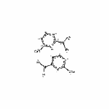 CCN(CC)c1ncnc(SC)n1.CSc1ncnc(N(C(C)C)C(C)C)n1